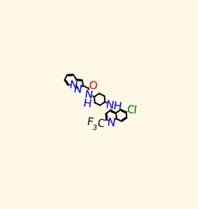 O=C(NC1CCC(Nc2cc(C(F)(F)F)nc3ccc(Cl)cc23)CC1)c1cc2ccccn2n1